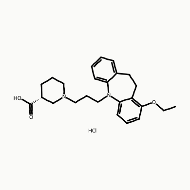 CCOc1cccc2c1CCc1ccccc1N2CCCN1CCC[C@@H](C(=O)O)C1.Cl